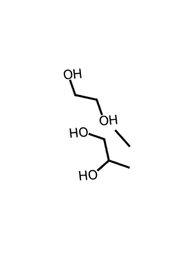 CC.CC(O)CO.OCCO